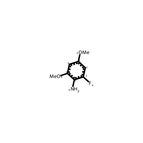 COc1cc(F)c(N)c(OC)c1